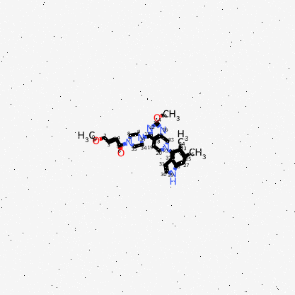 COC/C=C/C(=O)N1CCN(c2nc(OC)nc3c2CCN(c2c(C)c(C)cc4[nH]ccc24)C3)CC1